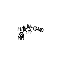 Cc1cc(-c2[nH]nc(-c3ncc(C4CCN(C5COC5)CC4)s3)c2C(C)C)cn2ncnc12